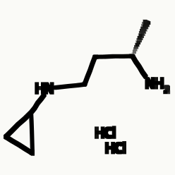 C[C@H](N)CCNC1CC1.Cl.Cl